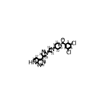 O=C(c1cc(Cl)cc(Cl)c1)N1CCC(N2C[C](n3cc(-c4ncnc5[nH]ccc45)cn3)C2)CC1